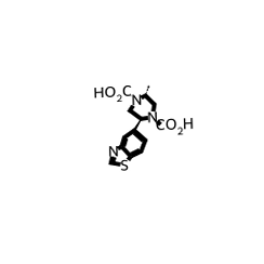 C[C@@H]1CN(C(=O)O)[C@@H](c2ccc3scnc3c2)CN1C(=O)O